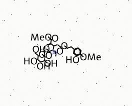 C/C=C1\C(OC2OC(CO)C(O)C(O)C2O)OC=C(C(=O)OC)C1CC(=O)OCCc1ccc(OC)c(O)c1